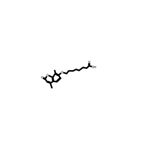 Cc1cc(=O)oc2c(C)c(OCCCCCCCC(=O)O)ccc12